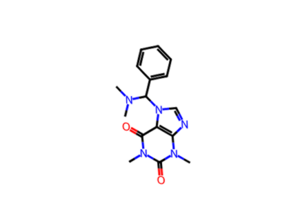 CN(C)C(c1ccccc1)n1cnc2c1c(=O)n(C)c(=O)n2C